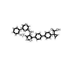 Cc1noc(-c2ccc(-c3ccc(C4(C(=O)O)CC4)cc3)cc2)c1Nc1cncc(-c2ccccc2)n1